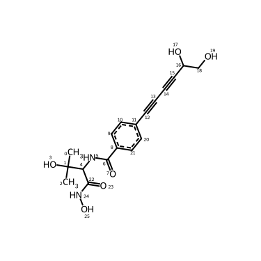 CC(C)(O)C(NC(=O)c1ccc(C#CC#CC(O)CO)cc1)C(=O)NO